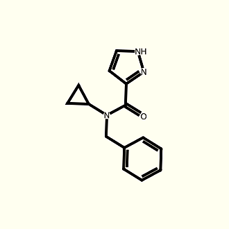 O=C(c1cc[nH]n1)N(Cc1ccccc1)C1CC1